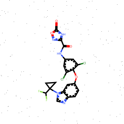 O=C(Nc1cc(Cl)c(Oc2ccc3ncn(C4(C(F)F)CC4)c3c2)c(Cl)c1)c1noc(=O)[nH]1